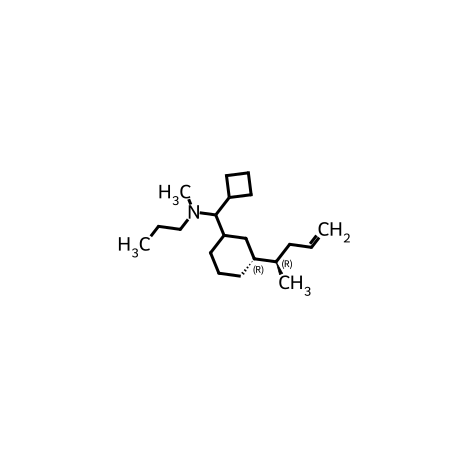 C=CC[C@@H](C)[C@@H]1CCCC(C(C2CCC2)N(C)CCC)C1